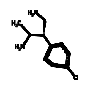 CC(N)[C@H](CN)c1ccc(Cl)cc1